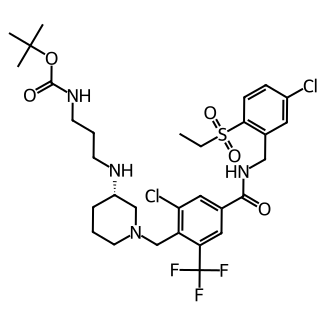 CCS(=O)(=O)c1ccc(Cl)cc1CNC(=O)c1cc(Cl)c(CN2CCC[C@H](NCCCNC(=O)OC(C)(C)C)C2)c(C(F)(F)F)c1